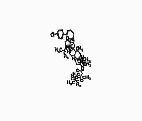 CC(C)C1=C2[C@H]3CC[C@@H]4[C@@]5(C)CC[C@H](OC(=O)CC(C)(C)C(=O)OC(C)(C)C)C(C)(C)[C@@H]5CC[C@@]4(C)[C@]3(C)CC[C@@]2(C23CC2CC=C=C(c2ccc(Cl)cc2)O3)CC1